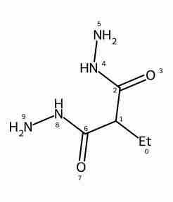 CCC(C(=O)NN)C(=O)NN